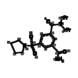 CCCN(CCC)C(=O)c1cc(C(N)=O)cc(S(=O)(=O)N2CCCC2)c1